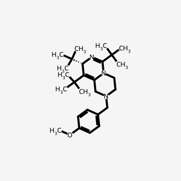 COc1ccc(CN2CCN3C(C(C)(C)C)=N[C@@H](C(C)(C)C)C(C(C)(C)C)=C3C2)cc1